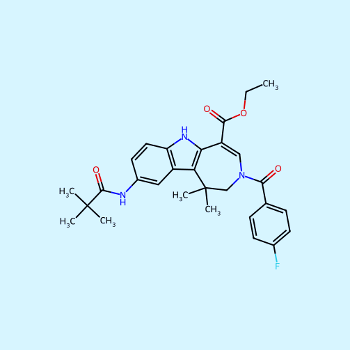 CCOC(=O)C1=CN(C(=O)c2ccc(F)cc2)CC(C)(C)c2c1[nH]c1ccc(NC(=O)C(C)(C)C)cc21